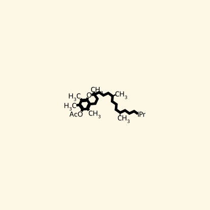 CC(=O)Oc1c(C)c(C)c2c(c1C)CCC(C)(CCC[C@@H](C)CCC[C@@H](C)CCCC(C)C)O2